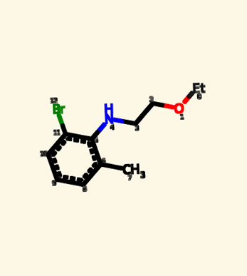 CCOCCNc1c(C)cccc1Br